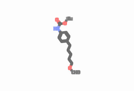 CC(C)(C)OC(=O)Nc1ccc(CCCCCOC=O)cc1